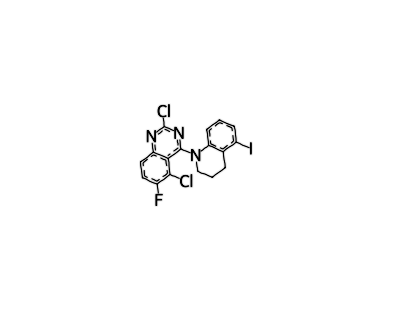 Fc1ccc2nc(Cl)nc(N3CCCc4c(I)cccc43)c2c1Cl